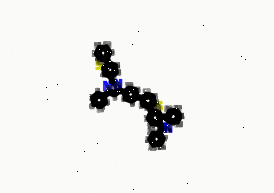 c1ccc(-c2cc(-c3ccc(-c4ccc5sc6c(ccc7c(-c8ccccc8)nc8ccccc8c76)c5c4)cc3)nc(-c3ccc4c(c3)sc3ccccc34)n2)cc1